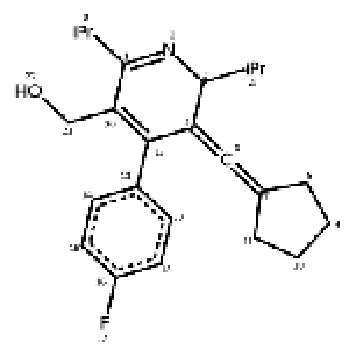 CC(C)C1=NC(C(C)C)C(=C=C2CCCC2)C(c2ccc(F)cc2)=C1CO